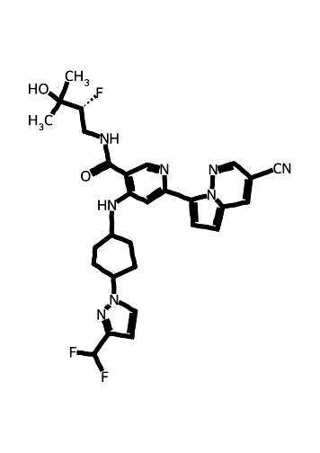 CC(C)(O)[C@H](F)CNC(=O)c1cnc(-c2ccc3cc(C#N)cnn23)cc1NC1CCC(n2ccc(C(F)F)n2)CC1